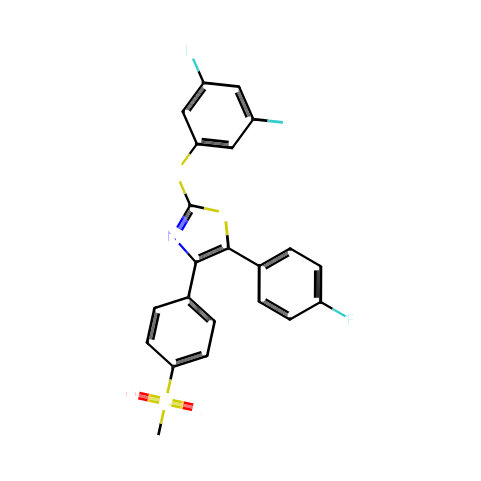 CS(=O)(=O)c1ccc(-c2nc(Sc3cc(F)cc(F)c3)sc2-c2ccc(F)cc2)cc1